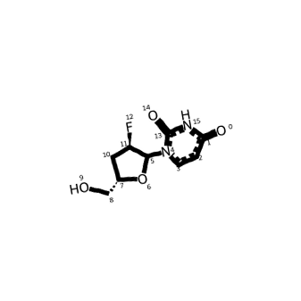 O=c1ccn(C2O[C@H](CO)C[C@H]2F)c(=O)[nH]1